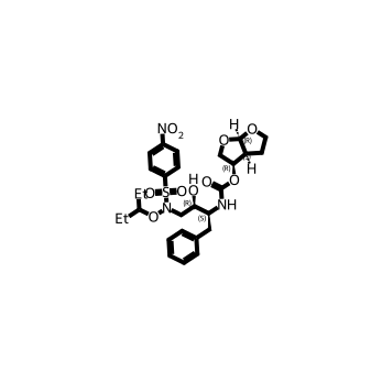 CCC(CC)ON(C[C@@H](O)[C@H](Cc1ccccc1)NC(=O)O[C@H]1CO[C@H]2OCC[C@H]21)S(=O)(=O)c1ccc([N+](=O)[O-])cc1